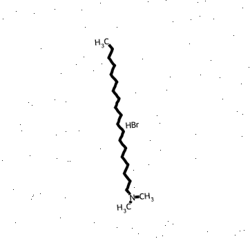 Br.CCCCCCCCCCCCCCCCCCCN(C)C